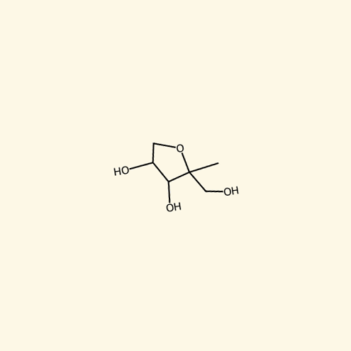 CC1(CO)OCC(O)C1O